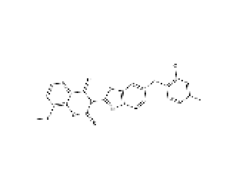 COc1ccnc2c(=O)n(-c3nc4ccc(Cc5ccc(F)cc5Cl)cc4s3)c(=S)oc12